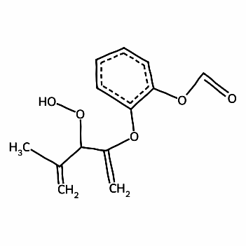 C=C(C)C(OO)C(=C)Oc1ccccc1OC=O